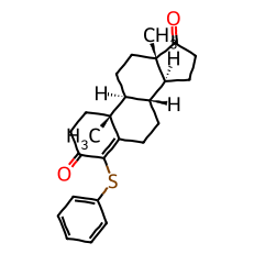 C[C@]12CCC(=O)C(Sc3ccccc3)=C1CC[C@@H]1[C@@H]2CC[C@]2(C)C(=O)CC[C@@H]12